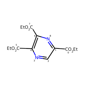 CCOC(=O)c1cnc(C(=O)OCC)c(C(=O)OCC)n1